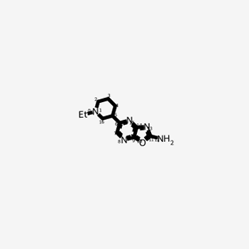 CCN1CCCC(c2cnc3oc(N)nc3n2)C1